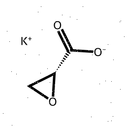 O=C([O-])[C@H]1CO1.[K+]